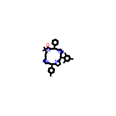 Cc1ccc(-c2c3nc(c(-c4c(C)cc(C)cc4C)c4ccc([nH]4)c(-c4ccccc4)c4nc(cc5ccc2[nH]5)C(C)(C)C4=O)CC3)cc1